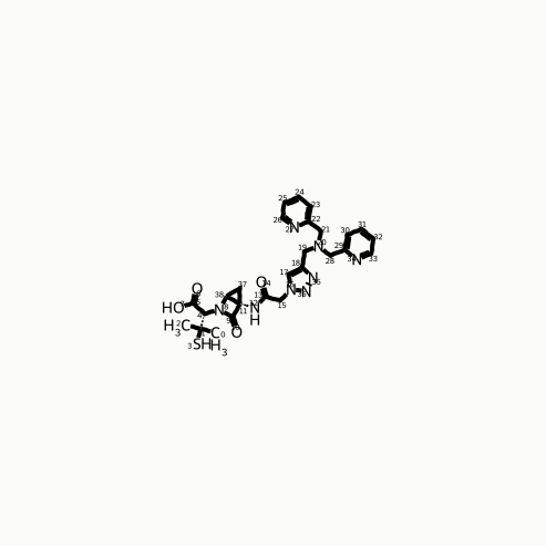 CC(C)(S)[C@H](C(=O)O)N1C(=O)[C@]2(NC(=O)Cn3cc(CN(Cc4ccccn4)Cc4ccccn4)nn3)CC12